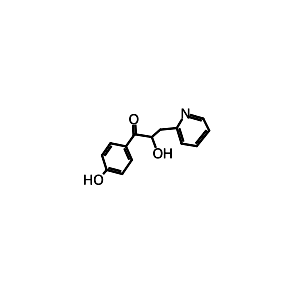 O=C(c1ccc(O)cc1)C(O)Cc1ccccn1